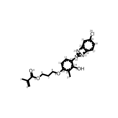 C=C(C)C(=O)OCCCOc1ccc(-n2n3c4ccc(Cl)cc4n23)c(O)c1C